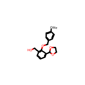 COc1ccc(COc2c(CO)cccc2C2OCCO2)cc1